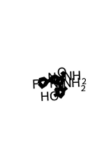 Cc1ccc(O)c(C)c1-n1c(N)c(C(N)=O)c2cnc(-c3ccc(F)cc3)nc21